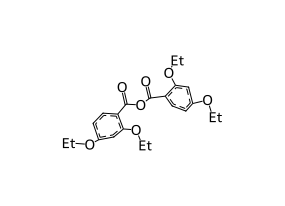 CCOc1ccc(C(=O)OC(=O)c2ccc(OCC)cc2OCC)c(OCC)c1